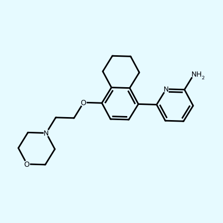 Nc1cccc(-c2ccc(OCCN3CCOCC3)c3c2CCCC3)n1